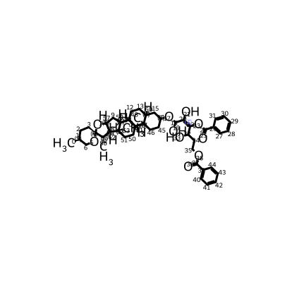 C[C@H]1CC[C@@]2(OC1)O[C@H]1C[C@H]3[C@@H]4CC[C@@H]5C[C@@H](OC(O)/C(O)=C(/OC(=O)c6ccccc6)C(O)CCOC(=O)c6ccccc6)CC[C@]5(C)[C@H]4CC[C@]3(C)[C@H]1[C@@H]2C